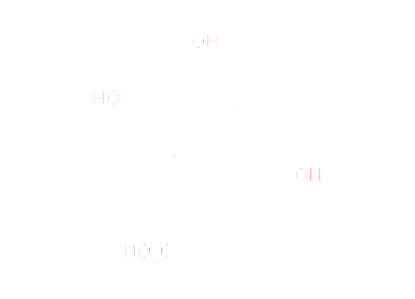 O=C(O)CC1C(O)C2CC1C(O)C2O